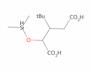 C[SiH](C)OC(C(=O)O)C(CC(=O)O)C(C)(C)C